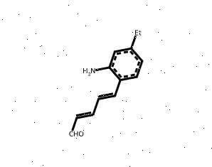 CCc1ccc(C=CC=CC=O)c(N)c1